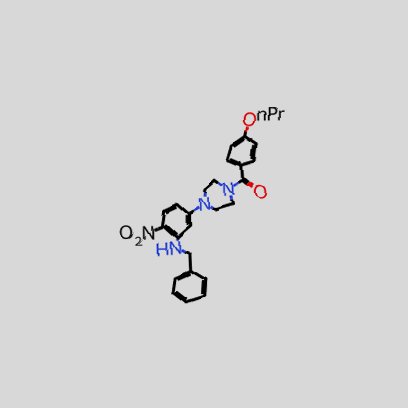 CCCOc1ccc(C(=O)N2CCN(c3ccc([N+](=O)[O-])c(NCc4ccccc4)c3)CC2)cc1